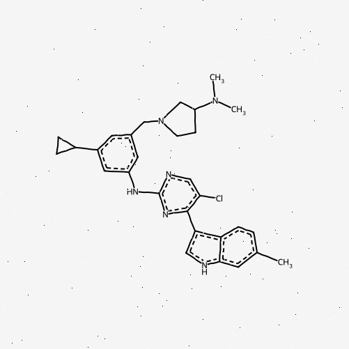 Cc1ccc2c(-c3nc(Nc4cc(CN5CCC(N(C)C)C5)cc(C5CC5)c4)ncc3Cl)c[nH]c2c1